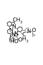 CCc1cc(Cn2cc(C)c3cccc(-c4cccc(-n5ncc(C(=O)O)c5C(F)(F)F)n4)c32)ccc1C1CCN(C(=O)C2CC2)CC1